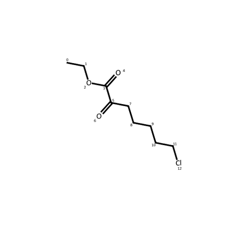 CCOC(=O)C(=O)CCCCCCl